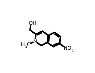 CN1Cc2cc([N+](=O)[O-])ccc2C=C1CO